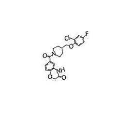 O=C1COc2ccc(C(=O)N3CCC(COc4ccc(F)cc4Cl)CC3)cc2N1